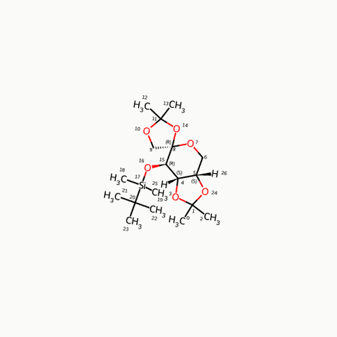 CC1(C)O[C@H]2[C@H](CO[C@@]3(COC(C)(C)O3)[C@@H]2O[Si](C)(C)C(C)(C)C)O1